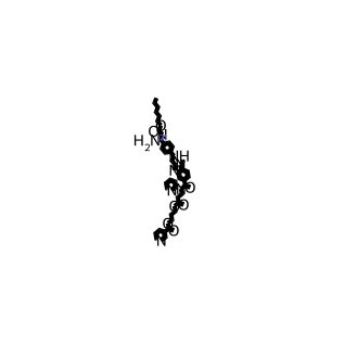 CCCCCCOC(=O)/N=C(\N)c1ccc(NCc2nc3cc(C(=O)N(CCC(=O)OCCCOC(=O)c4cccnc4)c4ccccn4)ccc3n2C)cc1